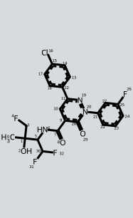 CC(O)(CF)C(NC(=O)c1cc(-c2ccc(Cl)cc2)nn(-c2cccc(F)c2)c1=O)C(F)F